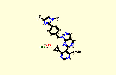 COc1ncnc(C2CC2)c1-c1ncc2cnn(Cc3ccc(-c4nc(C(F)(F)F)cn4C(C)C)cc3)c2n1.Cl.O